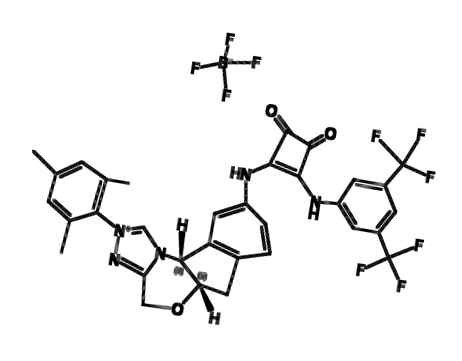 Cc1cc(C)c(-[n+]2cn3c(n2)CO[C@H]2Cc4ccc(Nc5c(Nc6cc(C(F)(F)F)cc(C(F)(F)F)c6)c(=O)c5=O)cc4[C@H]23)c(C)c1.F[B-](F)(F)F